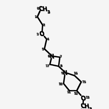 CCCOCCN1CC(N2CCC(OC)CC2)C1